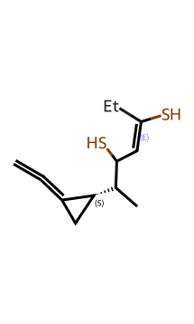 C=C=C1C[C@H]1C(C)C(S)/C=C(/S)CC